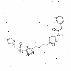 Cc1cccc(CC(=O)Nc2ccc(CCCCc3nnc(NC(=O)Cn4ccc(C)n4)s3)nn2)c1